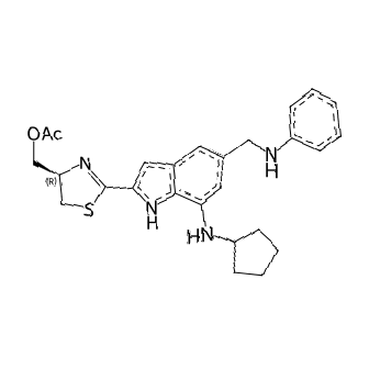 CC(=O)OC[C@@H]1CSC(c2cc3cc(CNc4ccccc4)cc(NC4CCCC4)c3[nH]2)=N1